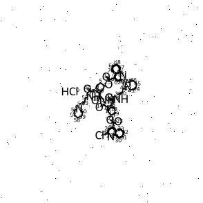 Cl.O=C(OC1CC2CC1C(C(=O)NC(=O)C1C3CC(CC3OC(=O)c3cc(Cl)nc4ccccc34)C1C(=O)NCCCN1CCCCC1)C2C(=O)NCCCN1CCCCC1)c1cc(Cl)nc2ccccc12